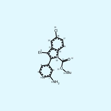 CCc1c(-c2ccnc(N)c2)n(C(=O)OC(C)(C)C)c2ccc(Cl)cc12